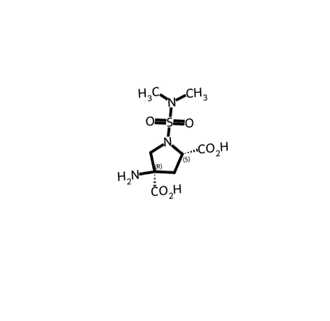 CN(C)S(=O)(=O)N1C[C@@](N)(C(=O)O)C[C@H]1C(=O)O